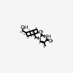 Cc1cn(CC23C4C5C2C2C3C4C52CO)c(=O)[nH]c1=O